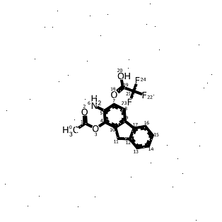 CC(=O)Oc1c(N)ccc2c1Cc1ccccc1-2.O=C(O)C(F)(F)F